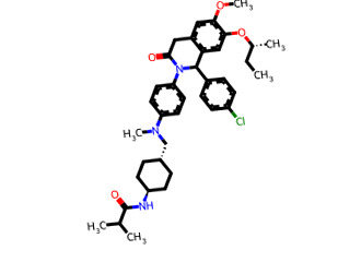 CC[C@@H](C)Oc1cc2c(cc1OC)CC(=O)N(c1ccc(N(C)C[C@H]3CC[C@H](NC(=O)C(C)C)CC3)cc1)C2c1ccc(Cl)cc1